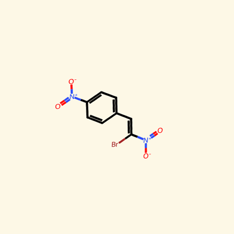 O=[N+]([O-])C(Br)=Cc1ccc([N+](=O)[O-])cc1